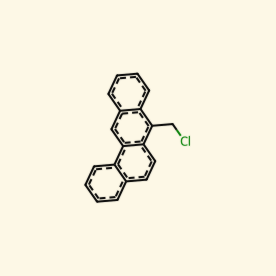 ClCc1c2ccccc2cc2c1ccc1ccccc12